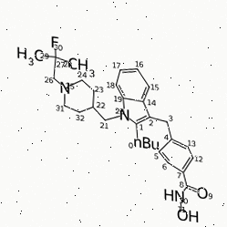 CCCCc1c(Cc2ccc(C(=O)NO)cc2)c2ccccc2n1CC1CCN(CC(C)(C)F)CC1